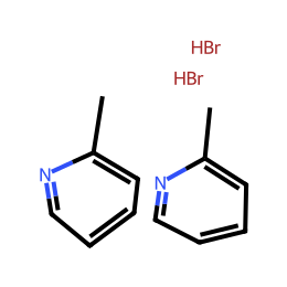 Br.Br.Cc1ccccn1.Cc1ccccn1